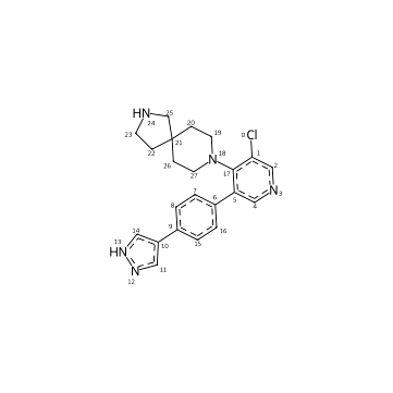 Clc1cncc(-c2ccc(-c3cn[nH]c3)cc2)c1N1CCC2(CCNC2)CC1